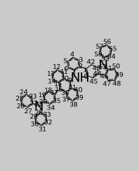 C1=C(c2ccccc2Nc2c3ccccc3c(-c3ccc(N(c4ccccc4)c4ccccc4)cc3)c3ccccc23)CC2C(=C1)c1ccccc1N2c1ccccc1